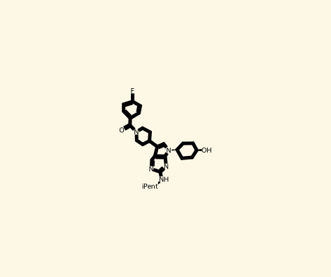 CCC[C@H](C)Nc1ncc2c(C3CCN(C(=O)c4ccc(F)cc4)CC3)cn([C@H]3CC[C@H](O)CC3)c2n1